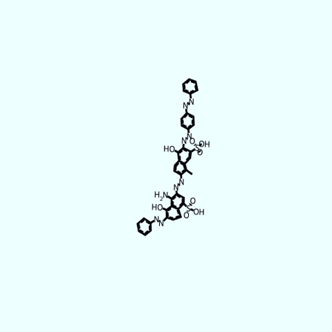 Cc1c(N=Nc2cc(S(=O)(=O)O)c3ccc(N=Nc4ccccc4)c(O)c3c2N)ccc2c(O)c(N=Nc3ccc(N=Nc4ccccc4)cc3)c(S(=O)(=O)O)cc12